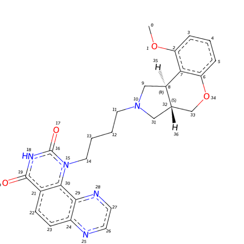 COc1cccc2c1[C@@H]1CN(CCCCn3c(=O)[nH]c(=O)c4ccc5nccnc5c43)C[C@H]1CO2